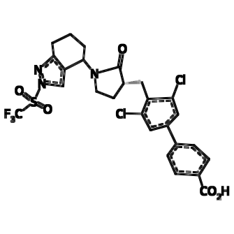 O=C(O)c1ccc(-c2cc(Cl)c(C[C@@H]3CCN(C4CCCc5nn(S(=O)(=O)C(F)(F)F)cc54)C3=O)c(Cl)c2)cc1